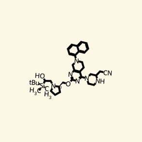 CC(C)(C)[Si](C)(C)C(O)CN1CCC[C@@H]1COc1nc2c(c(N3CCNC(CC#N)C3)n1)CCN(c1cccc3ccccc13)C2